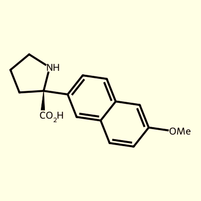 COc1ccc2cc([C@]3(C(=O)O)CCCN3)ccc2c1